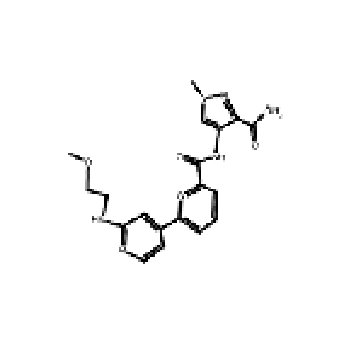 COCCNc1cc(-c2cccc(C(=O)Nc3cn(C)nc3C(N)=O)n2)ccn1